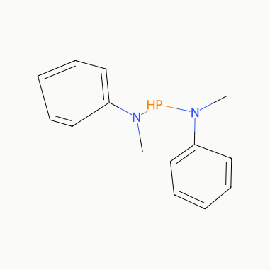 CN(PN(C)c1ccccc1)c1ccccc1